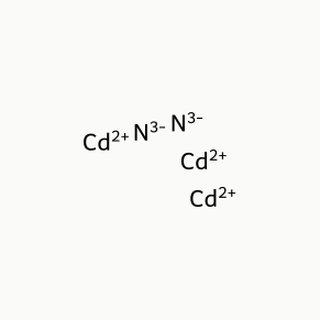 [Cd+2].[Cd+2].[Cd+2].[N-3].[N-3]